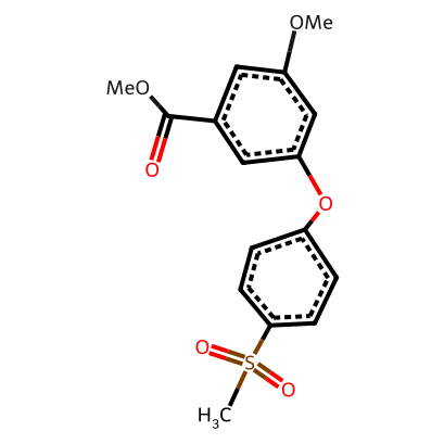 COC(=O)c1cc(OC)cc(Oc2ccc(S(C)(=O)=O)cc2)c1